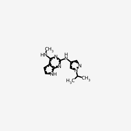 CNc1nc(Nc2cnn(C(C)C)c2)nc2[nH]ccc12